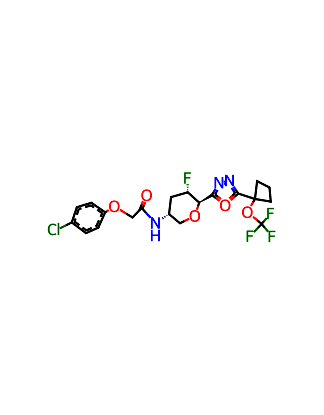 O=C(COc1ccc(Cl)cc1)N[C@H]1CO[C@H](c2nnc(C3(OC(F)(F)F)CCC3)o2)[C@@H](F)C1